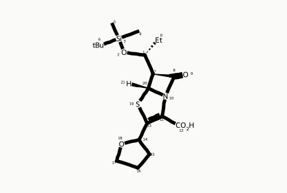 CC[C@@H](O[Si](C)(C)C(C)(C)C)[C@H]1C(=O)N2C(C(=O)O)=C(C3CCCO3)S[C@H]12